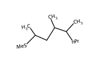 CCCC(C)C(C)CC(C)SC